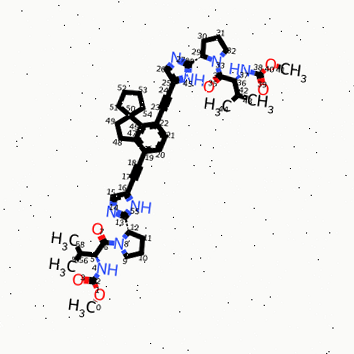 COC(=O)N[C@H](C(=O)N1CCC[C@H]1c1ncc(C#Cc2ccc(C#Cc3cnc([C@@H]4CCCN4C(=O)[C@@H](NC(=O)OC)C(C)C)[nH]3)c3c2CCC32CCCC2)[nH]1)C(C)C